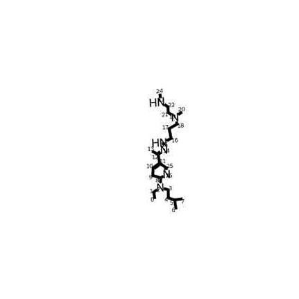 CCN(CCC(C)C)C1CC=C(/C(C)=N/NCCCN(C)CCNC)C=N1